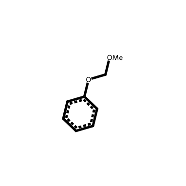 COCOc1ccccc1